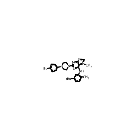 CCc1ccc(N2CCN(c3nc(Nc4cc(C(C)(C)C)ccc4C)c4c(ncn4C)n3)CC2)cc1